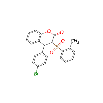 Cc1ccccc1S(=O)(=O)C1C(=O)Oc2ccccc2C1c1ccc(Br)cc1